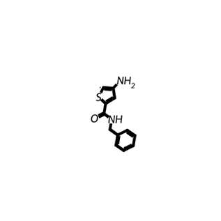 Nc1[c]sc(C(=O)NCc2ccccc2)c1